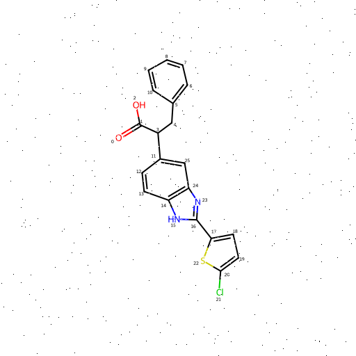 O=C(O)C(Cc1ccccc1)c1ccc2[nH]c(-c3ccc(Cl)s3)nc2c1